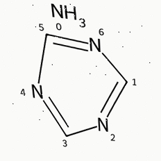 N.c1ncncn1